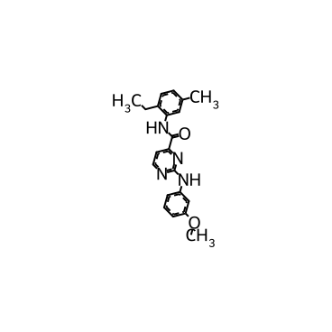 CCc1ccc(C)cc1NC(=O)c1ccnc(Nc2cccc(OC)c2)n1